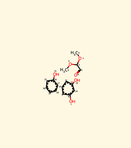 COC(C=O)OC.Oc1cccc(O)c1.Oc1ccccc1